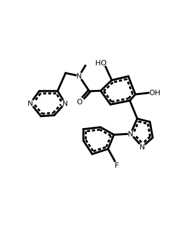 CN(Cc1cnccn1)C(=O)c1cc(-c2ccnn2-c2ccccc2F)c(O)cc1O